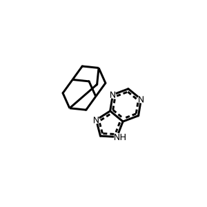 C1C2CC3CC1CC(C2)C3.c1ncc2[nH]cnc2n1